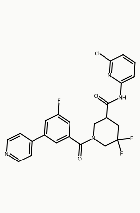 O=C(Nc1cccc(Cl)n1)C1CN(C(=O)c2cc(F)cc(-c3ccncc3)c2)CC(F)(F)C1